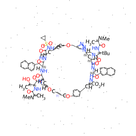 CN[C@@H](C)C(=O)N[C@H](C(=O)N1C[C@@H]2C[C@H]1C(=O)N[C@@H](Cc1ccc3ccccc3c1)C(=O)N[C@H](C(=O)O)Cc1ccc(cc1)OC/C=C/CO[C@H]1C[C@@H](C(=O)N[C@@H](Cc3ccc4ccccc4c3)C(=O)N[C@H](C(=O)NS(=O)(=O)C3CC3)Cc3ccc(cc3)OCc3cn2nn3)N(C(=O)[C@H](NC(=O)[C@H](C)NC)[C@@H](C)O)C1)C(C)(C)C